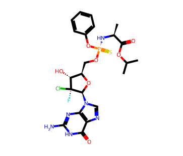 CC(C)OC(=O)[C@H](C)N[P@](=S)(OC[C@H]1O[C@@H](n2cnc3c(=O)[nH]c(N)nc32)[C@@](F)(Cl)[C@@H]1O)Oc1ccccc1